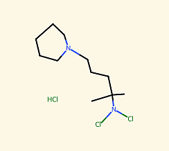 CC(C)(CCCN1CCCCC1)N(Cl)Cl.Cl